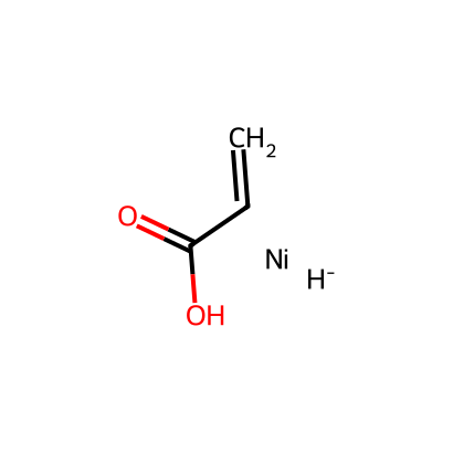 C=CC(=O)O.[H-].[Ni]